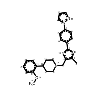 Cc1oc(-c2ccc(-n3cccn3)cc2)nc1CN1CCC(c2ccccc2OC(F)(F)F)CC1